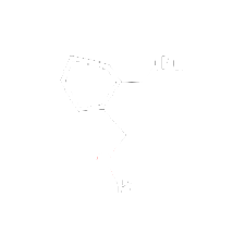 CC(C)OCc1ccccc1CC(C)(C)C